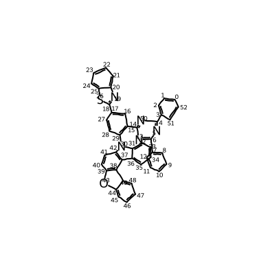 c1ccc(-c2nc(-c3ccccc3)nc(-c3cc(-c4nc5ccccc5s4)ccc3-n3c4ccccc4c4c5c(ccc43)oc3ccccc35)n2)cc1